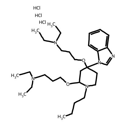 CCCCN1CCC(OCCCN(CC)CC)(n2cnc3ccccc32)CC1OCCCN(CC)CC.Cl.Cl.Cl